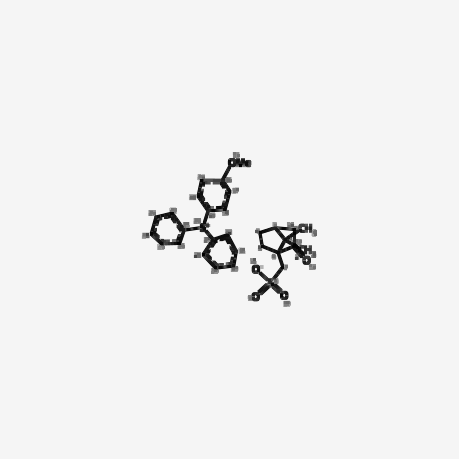 CC1(C)C2CCC1(CS(=O)(=O)[O-])C(=O)C2.COc1ccc([S+](c2ccccc2)c2ccccc2)cc1